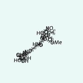 COc1ccc(-c2oc3c(CC=C(C)C)c(N=O)cc(O)c3c(=O)c2OC(=O)CCC(=O)NCCCCCOCc2cn(C3O[C@H](CO)[C@@H](O)[C@H](O)[C@H]3O)nn2)cc1